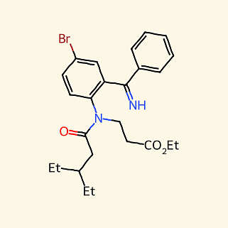 CCOC(=O)CCN(C(=O)CC(CC)CC)c1ccc(Br)cc1C(=N)c1ccccc1